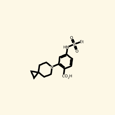 CCS(=O)(=O)Nc1ccc(C(=O)O)c(N2CCC3(CC2)CC3)c1